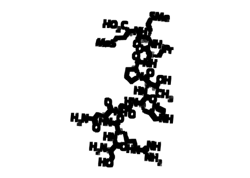 CSCC[C@H](NC(=O)[C@H](CCSC)NC(=O)[C@H](CC(C)C)NC(=O)[C@@H]1CCCN1C(=O)[C@@H](NC(=O)[C@H](Cc1c[nH]cn1)NC(=O)CNC(=O)[C@H](CC(N)=O)NC(=O)[C@H](CCCNC(=N)N)NC(=O)[C@@H](N)CO)[C@@H](C)O)C(=O)O